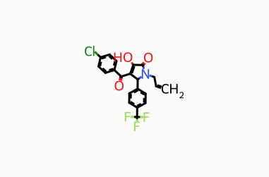 C=CCN1C(=O)C(O)=C(C(=O)c2ccc(Cl)cc2)C1c1ccc(C(F)(F)F)cc1